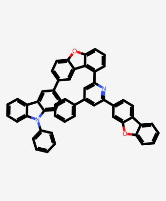 c1ccc(-c2cc(-c3ccc4c(c3)oc3ccccc34)nc(-c3cccc4oc5ccc(-c6ccc7c(c6)c6ccccc6n7-c6ccccc6)cc5c34)c2)cc1